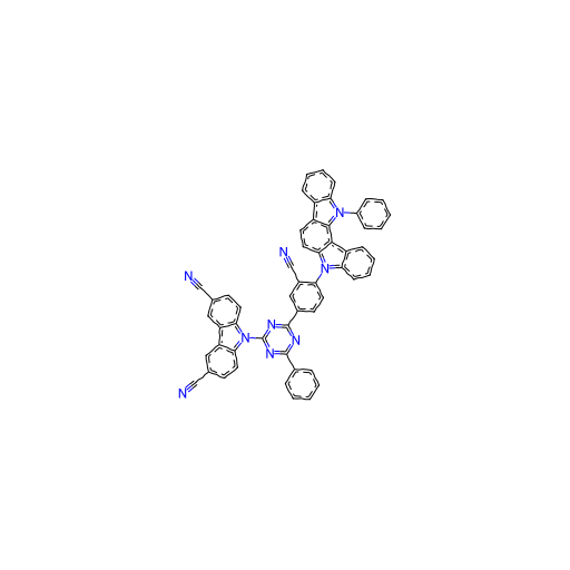 N#Cc1ccc2c(c1)c1cc(C#N)ccc1n2-c1nc(-c2ccccc2)nc(-c2ccc(-n3c4ccccc4c4c3ccc3c5ccccc5n(-c5ccccc5)c34)c(C#N)c2)n1